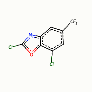 FC(F)(F)c1cc(Cl)c2oc(Cl)nc2c1